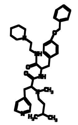 CC(C)CCN(C)C(Cc1ccncc1)C(=O)NC(Cc1ccc(OCc2ccccc2)cc1)C(=O)NCCN1CCCCC1